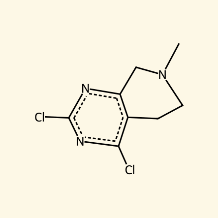 CN1CCc2c(Cl)nc(Cl)nc2C1